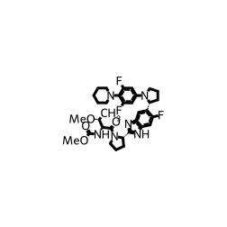 COC(=O)N[C@H](C(=O)N1CCC[C@H]1c1nc2cc([C@H]3CCCN3c3cc(F)c(N4CCCCC4)c(F)c3)c(F)cc2[nH]1)[C@@H](C)OC